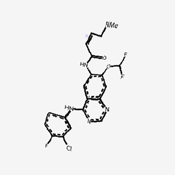 CNC/C=C\C(=O)Nc1cc2c(Nc3ccc(F)c(Cl)c3)ncnc2cc1OC(F)F